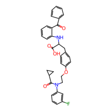 O=C(c1ccccc1)c1ccccc1NC(Cc1ccc(OCCN(C(=O)C2CC2)c2cccc(F)c2)cc1)C(=O)O